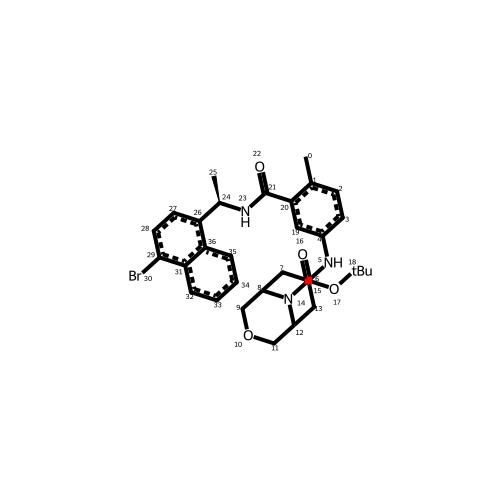 Cc1ccc(NC2CC3COCC(C2)N3C(=O)OC(C)(C)C)cc1C(=O)N[C@H](C)c1ccc(Br)c2ccccc12